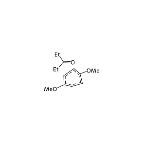 CCC(=O)CC.COc1ccc(OC)cc1